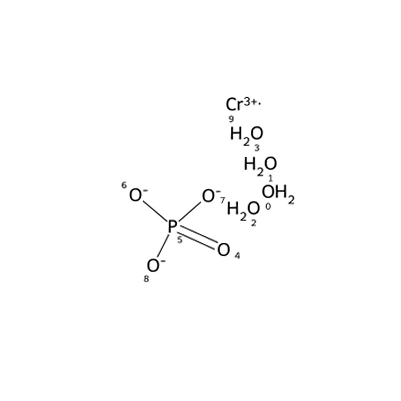 O.O.O.O.O=P([O-])([O-])[O-].[Cr+3]